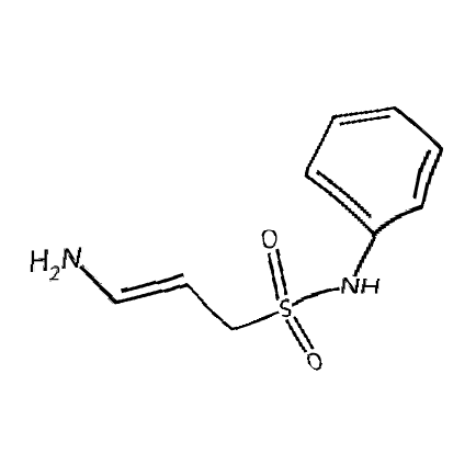 NC=CCS(=O)(=O)Nc1ccccc1